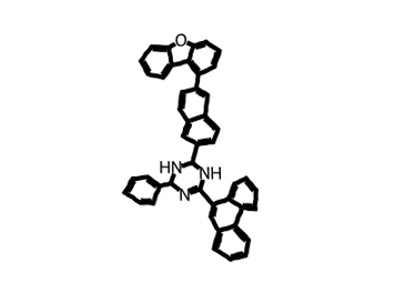 c1ccc(C2N=C(c3cc4ccccc4c4ccccc34)NC(c3ccc4cc(-c5cccc6oc7ccccc7c56)ccc4c3)N2)cc1